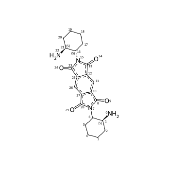 N[C@H]1CCCCC1n1c(=O)c2cc3c(=O)n([C@H]4CCCC[C@@H]4N)c(=O)c3cc2c1=O